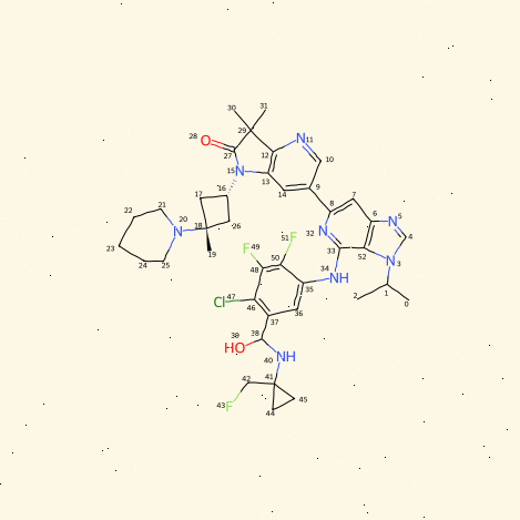 CC(C)n1cnc2cc(-c3cnc4c(c3)N([C@H]3C[C@@](C)(N5CCCCC5)C3)C(=O)C4(C)C)nc(Nc3cc(C(O)NC4(CF)CC4)c(Cl)c(F)c3F)c21